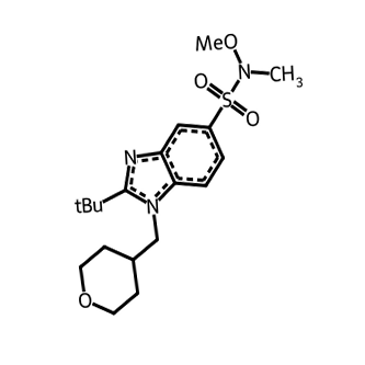 CON(C)S(=O)(=O)c1ccc2c(c1)nc(C(C)(C)C)n2CC1CCOCC1